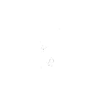 CCCCCCCCCCCCCCCCCOC(=O)[C@H](CC(C)C)N(C)S(=O)(=O)CCCCc1nccc2[nH]c(C)nc12